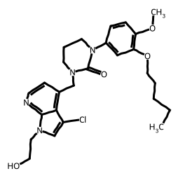 CCCCCOc1cc(N2CCCN(Cc3ccnc4c3c(Cl)cn4CCO)C2=O)ccc1OC